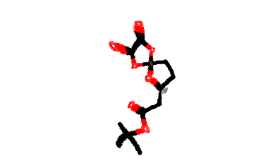 CC(C)(C)OC(=O)C[C@@H]1CC[B-]2(OC(=O)C(=O)O2)O1